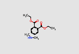 CCOC(=O)c1ccccc1C(=O)OCC.CNC